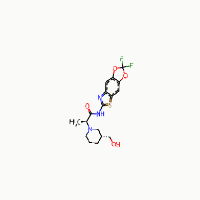 C[C@@H](C(=O)Nc1nc2cc3c(cc2s1)OC(F)(F)O3)N1CCC[C@@H](CO)C1